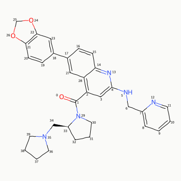 O=C(c1cc(NCc2ccccn2)nc2ccc(-c3ccc4c(c3)OCO4)cc12)N1CCC[C@H]1CN1CCCC1